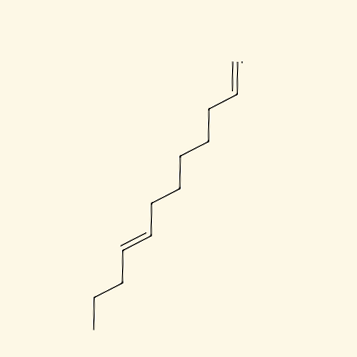 [CH]=CCCCCCC=CCCC